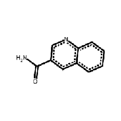 NC(=O)c1[c]c2ccccc2nc1